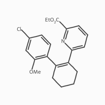 CCOC(=O)c1cccc(C2=C(c3ccc(Cl)cc3OC)CCCC2)n1